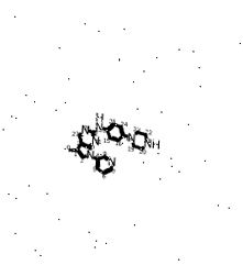 Cc1cn(-c2cccnc2)c2nc(Nc3ccc(N4CCNCC4)cc3)ncc12